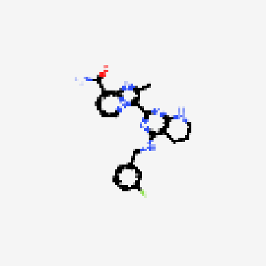 Cc1nc2c(C(N)=O)cccn2c1-c1nc2c(c(NCc3cccc(F)c3)n1)CCCN2